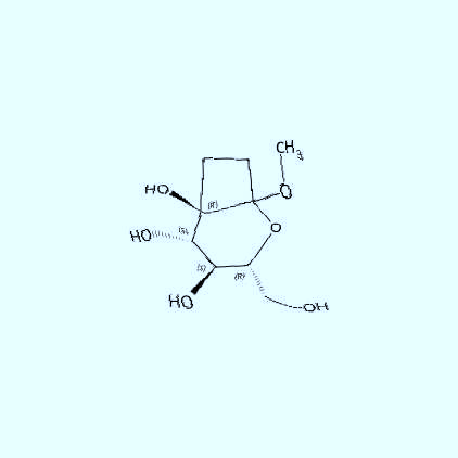 COC12CC[C@@]1(O)[C@@H](O)[C@H](O)[C@@H](CO)O2